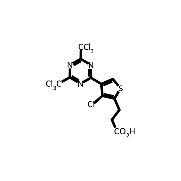 O=C(O)CCc1scc(-c2nc(C(Cl)(Cl)Cl)nc(C(Cl)(Cl)Cl)n2)c1Cl